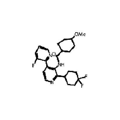 COC1CCC(C(=O)Nc2c(-c3ncccc3F)ccnc2C2CCC(F)(F)CC2)CC1